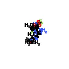 [2H]C([2H])([2H])N1CCC(n2cc(-c3cnc(N)c4c(-c5ccc(NS(=O)(=O)C(F)F)c(O[C@@H](C)c6ccc(F)cc6)c5)nn(C)c34)cn2)CC1(C)C